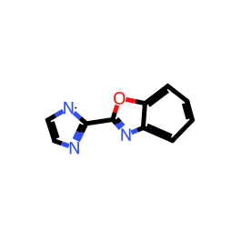 C1=CN=C(c2nc3ccccc3o2)[N]1